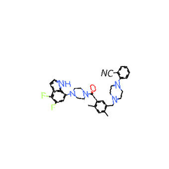 Cc1cc(C)c(C(=O)N2CCN(c3cc(F)c(F)c4cc[nH]c34)CC2)cc1CN1CCN(c2ccccc2C#N)CC1